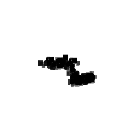 CN(CCCNS(=O)(=O)c1cc(S(=O)(=O)c2ccccc2)ccc1C(F)(F)F)C(=O)NC1CCN(C(=O)OC(C)(C)C)CC1